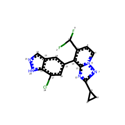 FC(F)c1ccn2nc(C3CC3)nc2c1-c1cc(Cl)c2[nH]ncc2c1